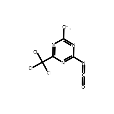 Cc1nc(N=C=O)nc(C(Cl)(Cl)Cl)n1